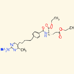 CCOC(=O)CC[C@H](NC(=O)c1ccc(CCCCc2cnc(N)nc2C)cc1)C(=O)OCC